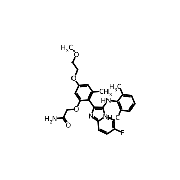 COCCOc1cc(C)c(-c2nc3ccc(F)cn3c2Nc2c(C)cccc2C)c(OCC(N)=O)c1